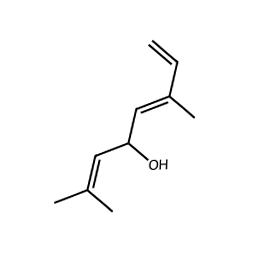 C=CC(C)=CC(O)C=C(C)C